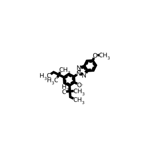 CCC(C)(C)c1cc(-n2nc3ccc(OC)cc3n2)c([O])c(C(C)(C)CC)c1